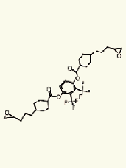 O=C(Oc1ccc(OC(=O)C2CCC(CCCC3CO3)CC2)c(C(F)(F)F)c1C(F)(F)F)C1CCC(CCCC2CO2)CC1